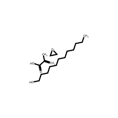 C1CO1.C=C(C)C(=O)O.CCCCCCCCCCCCO